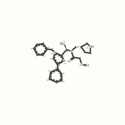 CCOCC(=O)N(C[C@H]1CCNC1)[C@@H](c1nc(-c2ccccc2)cn1Cc1ccccc1)C(C)(C)C